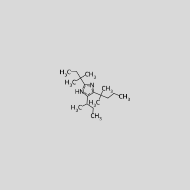 CCCC(C)(C)c1nc(C(C)(C)CC)[nH]c1C(C)CC